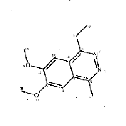 CCc1nnc(C)c2cc(OC)c(OC)cc12